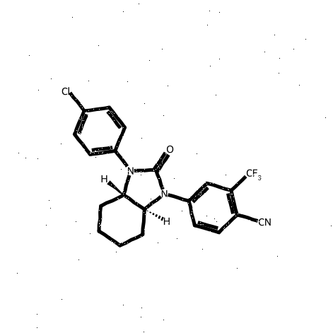 N#Cc1ccc(N2C(=O)N(c3ccc(Cl)cc3)[C@H]3CCCC[C@@H]32)cc1C(F)(F)F